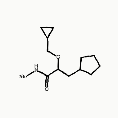 CC(C)(C)NC(=O)C(CC1CCCC1)OCC1CC1